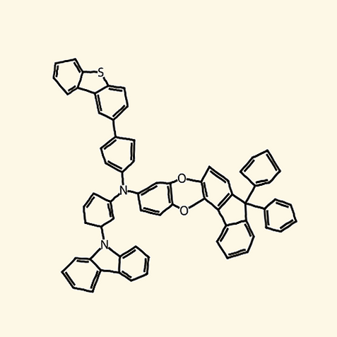 C1=CC(N(c2ccc(-c3ccc4sc5ccccc5c4c3)cc2)c2ccc3c(c2)Oc2ccc4c(c2O3)-c2ccccc2C4(c2ccccc2)c2ccccc2)=CC(n2c3ccccc3c3ccccc32)C1